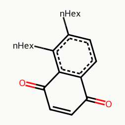 CCCCCCc1ccc2c(c1CCCCCC)C(=O)C=CC2=O